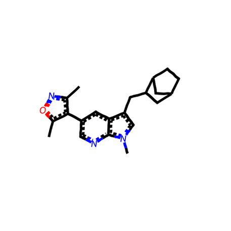 Cc1noc(C)c1-c1cnc2c(c1)c(CC1CC3CCC1C3)cn2C